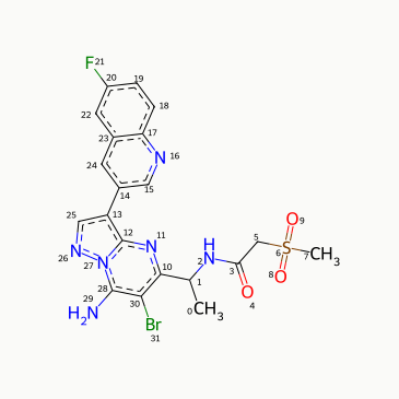 CC(NC(=O)CS(C)(=O)=O)c1nc2c(-c3cnc4ccc(F)cc4c3)cnn2c(N)c1Br